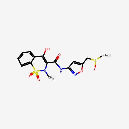 CCCCCCC[S+]([O-])Cc1cc(NC(=O)C2=C(O)c3ccccc3S(=O)(=O)N2C)no1